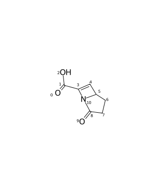 O=C(O)C1=CC2CCC(=O)N12